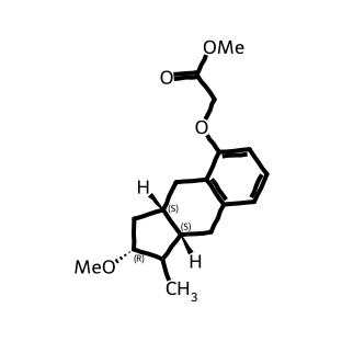 COC(=O)COc1cccc2c1C[C@H]1C[C@@H](OC)C(C)[C@H]1C2